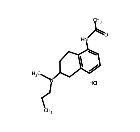 CCCN(C)C1CCc2c(cccc2NC(C)=O)C1.Cl